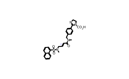 CN(Cc1ccc(C2=NCCN2C(=O)O)cc1)C(=O)/C=C/CN(C)S(=O)(=O)c1cccc2ccccc12